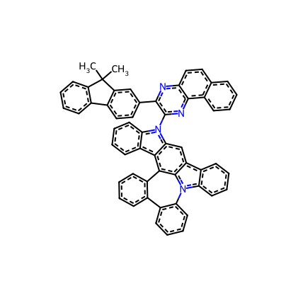 CC1(C)c2ccccc2-c2ccc(-c3nc4ccc5ccccc5c4nc3-n3c4ccccc4c4c5c6c(cc43)c3ccccc3n6-c3ccccc3-c3ccccc3-5)cc21